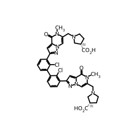 Cn1c(CN2CC[C@H](C(=O)O)C2)cn2nc(-c3cccc(-c4cccc(-c5cc6c(=O)n(C)c(CN7CC[C@H](C(=O)O)C7)cn6n5)c4Cl)c3Cl)cc2c1=O